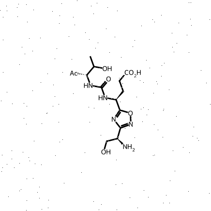 CC(=O)[C@@H](NC(=O)N[C@@H](CCC(=O)O)c1nc([C@@H](N)CO)no1)C(C)O